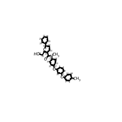 Cc1ccc(Oc2cccc(Oc3ccc(N(C)C(=O)c4ccc(-c5ccccc5)cc4CO)cc3)c2)cc1